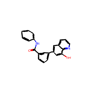 O=C(Nc1ccccc1)c1cccc(-c2cc(O)c3ncccc3c2)c1